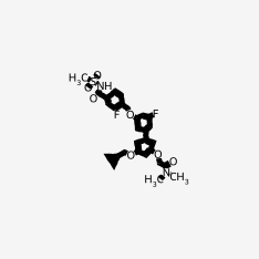 CN(C)C(=O)COc1cc(OCC2CC2)cc(-c2cc(F)cc(OCc3ccc(C(=O)NS(C)(=O)=O)cc3F)c2)c1